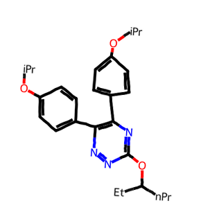 CCCC(CC)Oc1nnc(-c2ccc(OC(C)C)cc2)c(-c2ccc(OC(C)C)cc2)n1